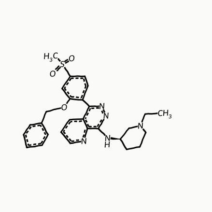 CCN1CCC[C@@H](Nc2nnc(-c3ccc(S(C)(=O)=O)cc3OCc3ccccc3)c3cccnc23)C1